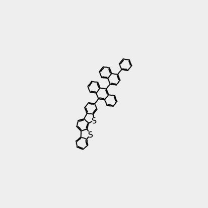 c1ccc(-c2ccc(-c3c4ccccc4c(-c4ccc5c(c4)sc4c5ccc5c6ccccc6sc54)c4ccccc34)c3ccccc23)cc1